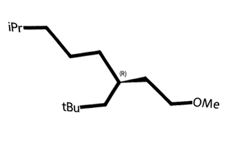 COCC[C@H](CCCC(C)C)CC(C)(C)C